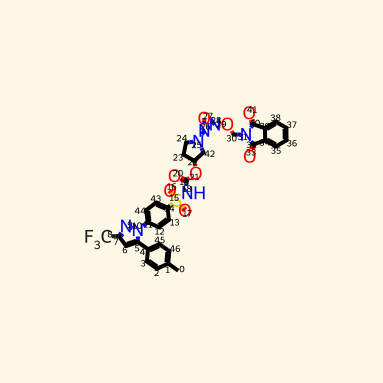 Cc1ccc(-c2cc(C(F)(F)F)nn2-c2ccc(S(=O)(=O)NC(=O)OC3CCN(n4on4OCN4C(=O)c5ccccc5C4=O)C3)cc2)cc1